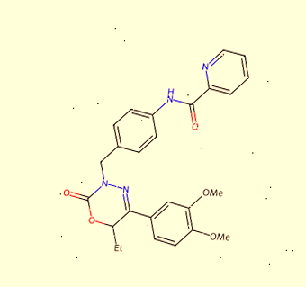 CCC1OC(=O)N(Cc2ccc(NC(=O)c3ccccn3)cc2)N=C1c1ccc(OC)c(OC)c1